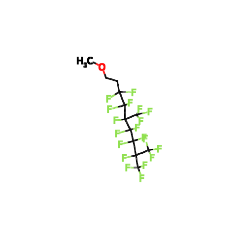 COCCC(F)(F)C(F)(F)C(F)(C(F)(F)F)C(F)(F)C(F)(F)C(F)(C(F)(F)F)C(F)(F)F